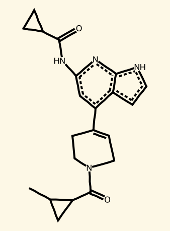 CC1CC1C(=O)N1CC=C(c2cc(NC(=O)C3CC3)nc3[nH]ccc23)CC1